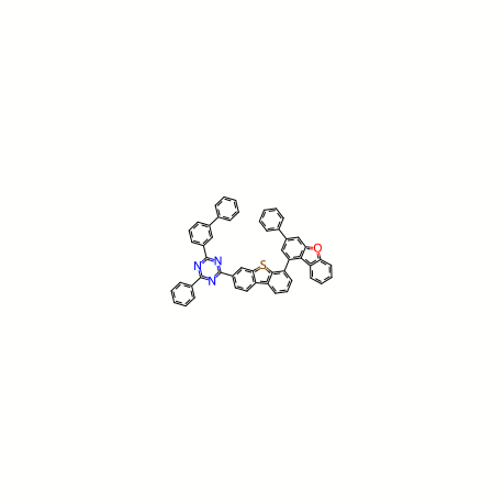 c1ccc(-c2cccc(-c3nc(-c4ccccc4)nc(-c4ccc5c(c4)sc4c(-c6cc(-c7ccccc7)cc7oc8ccccc8c67)cccc45)n3)c2)cc1